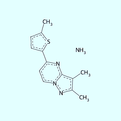 Cc1ccc(-c2ccn3nc(C)c(C)c3n2)s1.N